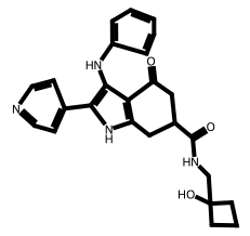 O=C1CC(C(=O)NCC2(O)CCC2)Cc2[nH]c(-c3ccncc3)c(Nc3ccccc3)c21